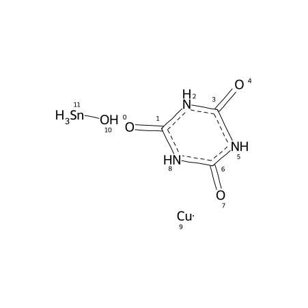 O=c1[nH]c(=O)[nH]c(=O)[nH]1.[Cu].[OH][SnH3]